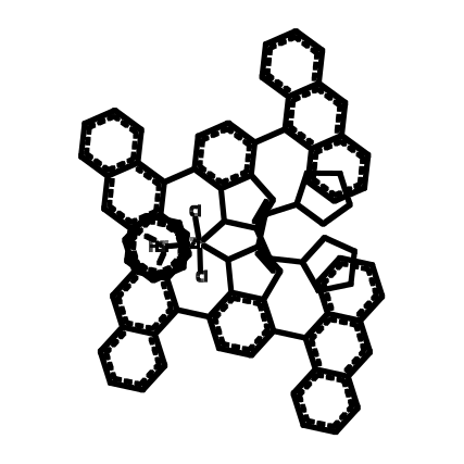 C[SiH](C)[Zr]([Cl])([Cl])([CH]1C(CC2CCCC2)=Cc2c(-c3c4ccccc4cc4ccccc34)ccc(-c3c4ccccc4cc4ccccc34)c21)[CH]1C(CC2CCCC2)=Cc2c(-c3c4ccccc4cc4ccccc34)ccc(-c3c4ccccc4cc4ccccc34)c21